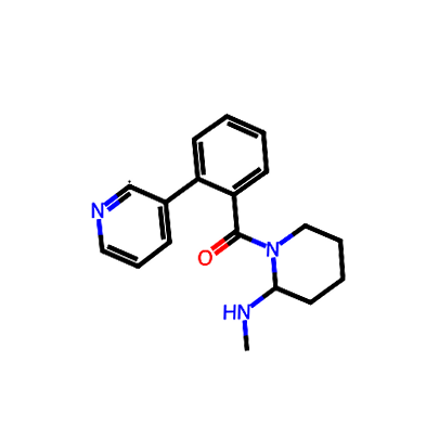 CNC1CCCCN1C(=O)c1ccccc1-c1[c]nccc1